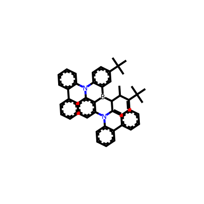 CC1C(C(C)(C)C)=CC=C2C1B1c3cc(C(C)(C)C)ccc3N(c3ccccc3-c3ccccc3)c3cccc(c31)N2c1ccccc1-c1ccccc1